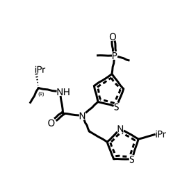 CC(C)c1nc(CN(C(=O)N[C@H](C)C(C)C)c2cc(P(C)(C)=O)cs2)cs1